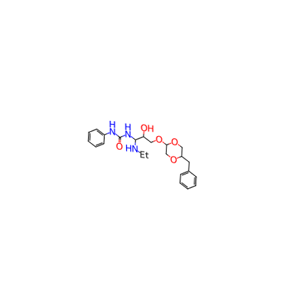 CCNC(NC(=O)Nc1ccccc1)C(O)COC1COC(Cc2ccccc2)CO1